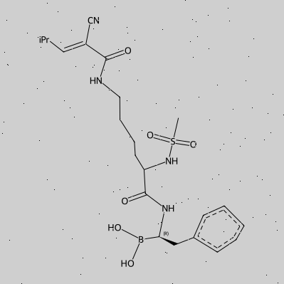 CC(C)C=C(C#N)C(=O)NCCCCC(NS(C)(=O)=O)C(=O)N[C@@H](Cc1ccccc1)B(O)O